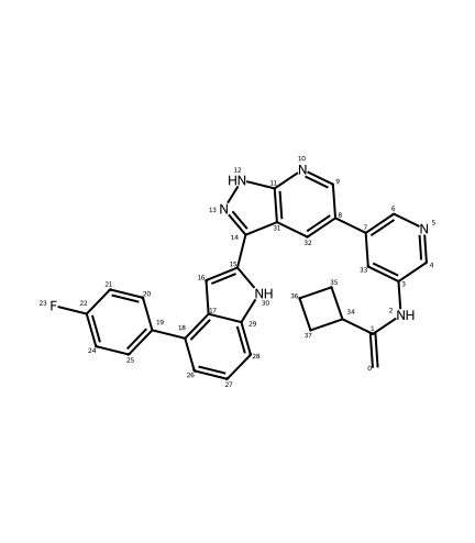 C=C(Nc1cncc(-c2cnc3[nH]nc(-c4cc5c(-c6ccc(F)cc6)cccc5[nH]4)c3c2)c1)C1CCC1